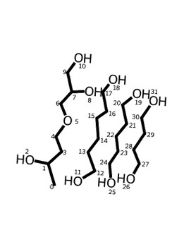 CC(O)CCOCC(O)CO.OCCCCCCO.OCCCCCO.OCCCCO